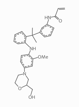 C=CC(=O)Nc1cccc(C(C)(C)c2ccccc2Nc2ccc(N3CCOC(CO)C3)cc2OC)c1